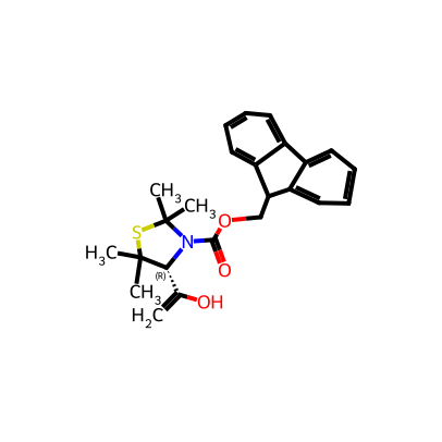 C=C(O)[C@H]1N(C(=O)OCC2c3ccccc3-c3ccccc32)C(C)(C)SC1(C)C